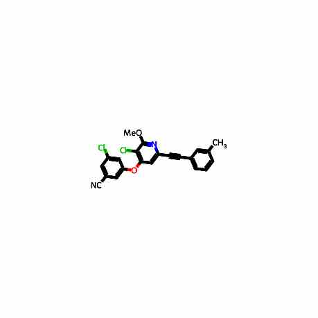 COc1nc(C#Cc2cccc(C)c2)cc(Oc2cc(Cl)cc(C#N)c2)c1Cl